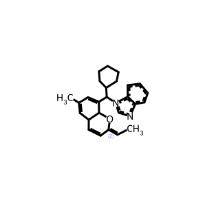 C/C=C1/C=CC2C=C(C)C=C(C(C3CCCCC3)n3cnc4ccccc43)C2O1